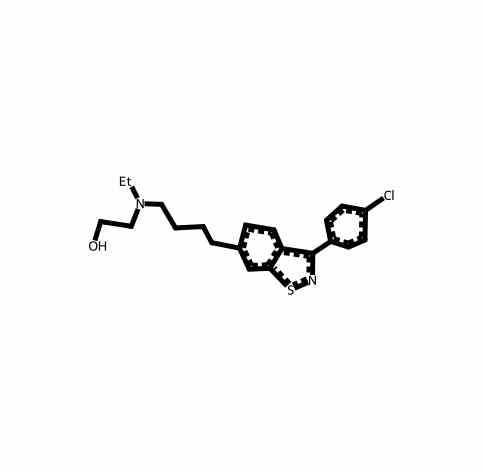 CCN(CCO)CCCCc1ccc2c(-c3ccc(Cl)cc3)nsc2c1